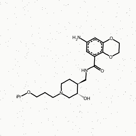 CC(C)OCCCN1CC[C@@H](CNC(=O)c2cc(N)cc3c2OCCO3)[C@H](O)C1